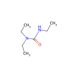 C[CH]N(CC)C(=O)NCC